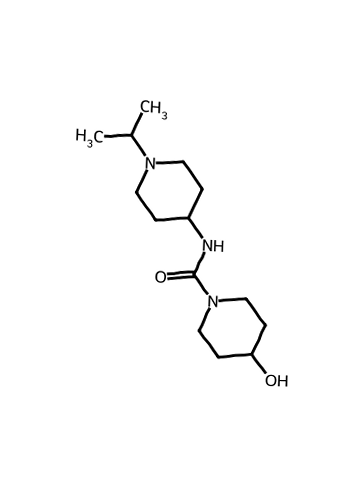 CC(C)N1CCC(NC(=O)N2CCC(O)CC2)CC1